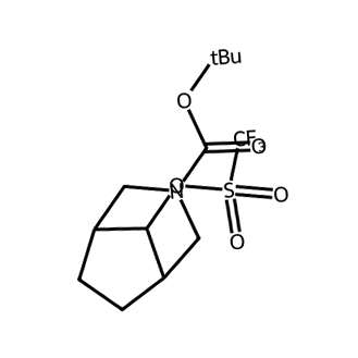 CC(C)(C)OC(=O)N1CC2CCC(C1)C2OS(=O)(=O)C(F)(F)F